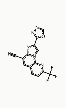 N#Cc1cc2ccc(C(F)(F)F)nc2n2cc(-c3nnco3)nc12